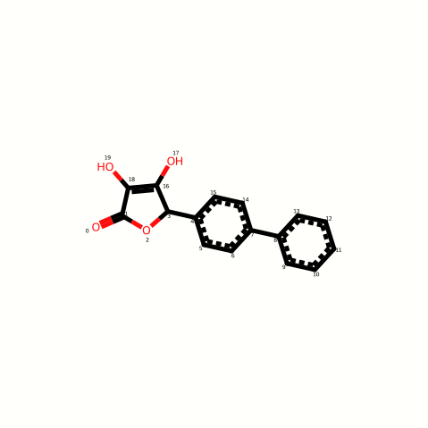 O=C1OC(c2ccc(-c3ccccc3)cc2)C(O)=C1O